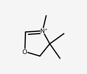 C[N+]1=COCC1(C)C